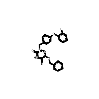 O=c1[nH]c(=O)n(Cc2ccc(Oc3ccccc3F)cc2)nc1OCc1ccccc1